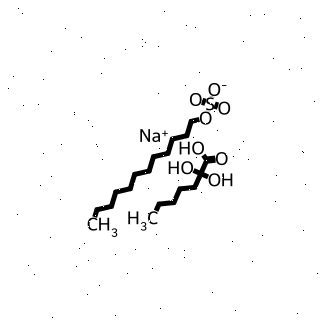 CCCCCC(O)(O)C(=O)O.CCCCCCCCCCCCOS(=O)(=O)[O-].[Na+]